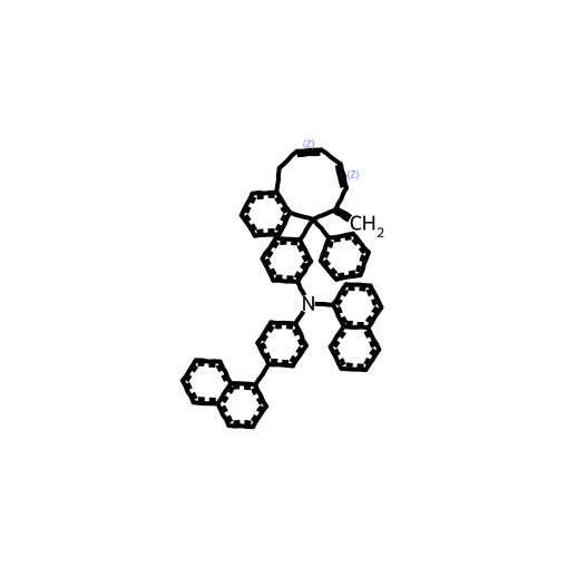 C=C1/C=C\C=C/Cc2ccccc2C1(c1ccccc1)c1cccc(N(c2ccc(-c3cccc4ccccc34)cc2)c2cccc3ccccc23)c1